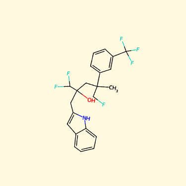 CC(CF)(CC(O)(Cc1cc2ccccc2[nH]1)C(F)F)c1cccc(C(F)(F)F)c1